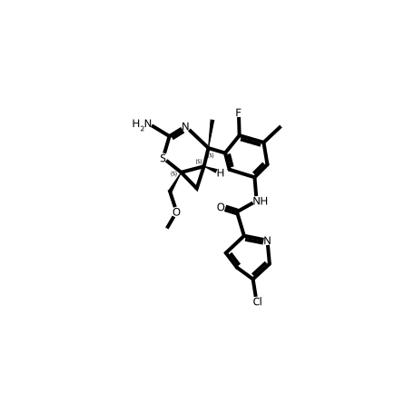 COC[C@]12C[C@H]1[C@@](C)(c1cc(NC(=O)c3ccc(Cl)cn3)cc(C)c1F)N=C(N)S2